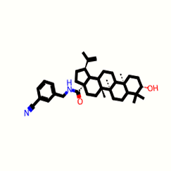 C=C(C)[C@@H]1CC[C@]2(C(=O)NCc3cccc(C#N)c3)CC[C@]3(C)C(CCC4[C@@]5(C)CC[C@H](O)C(C)(C)C5CC[C@]43C)C12